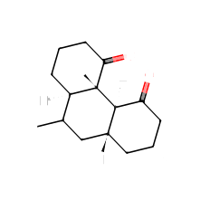 CC1C[C@H]2C[C@@H](C)CC(=O)[C@@H]2[C@H]2C(=O)CCC[C@H]12